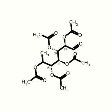 CC(=O)OC(C)[C@@H](OC(C)=O)[C@H](OC(C)=O)[C@H](OC(C)=O)[C@H](C=O)OC(C)=O